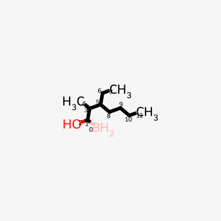 BC(O)C(C)C(CC)CCCC